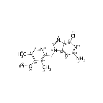 Cc1cnc(Cn2cnc3c(Cl)nc(N)nc32)c(C)c1OC(C)C